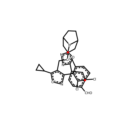 O=Cc1ccc(-c2nnc(N3C4CCC3CC(OCc3c(-c5c(Cl)cccc5Cl)noc3C3CC3)C4)o2)cc1Cl